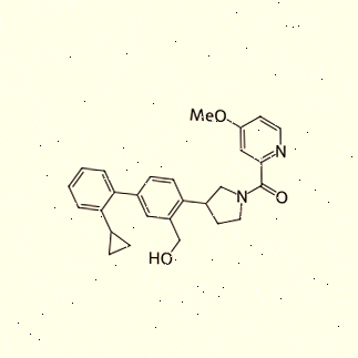 COc1ccnc(C(=O)N2CCC(c3ccc(-c4ccccc4C4CC4)cc3CO)C2)c1